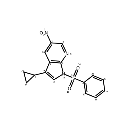 O=[N+]([O-])c1cnc2c(c1)c(C1CC1)cn2S(=O)(=O)c1ccccc1